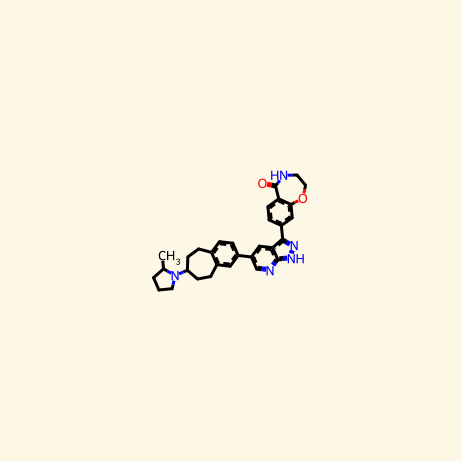 CC1CCCN1C1CCc2ccc(-c3cnc4[nH]nc(-c5ccc6c(c5)OCCNC6=O)c4c3)cc2CC1